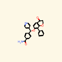 NC(=O)c1ccc([C@H](Oc2ccc3c(c2-c2ccccc2)OCCC3=O)c2ccncc2)cc1